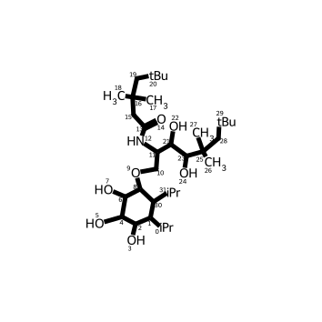 CC(C)C1C(O)C(O)C(O)C(OCC(NC(=O)CC(C)(C)CC(C)(C)C)C(O)C(O)C(C)(C)CC(C)(C)C)C1C(C)C